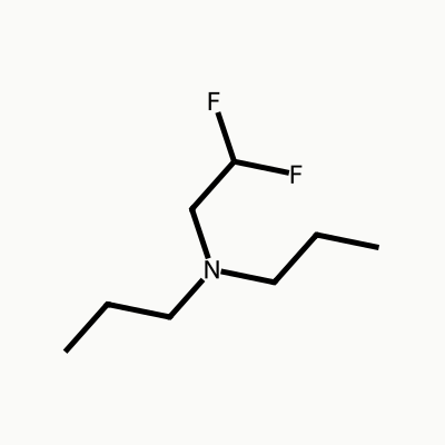 CCCN(CCC)CC(F)F